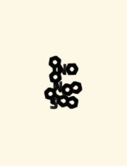 c1ccc(-n2c3ccccc3c3ccc(N(c4ccc5ccccc5c4)c4cccc5sc6cc7ccccc7cc6c45)cc32)cc1